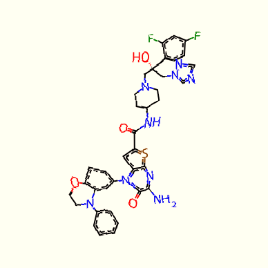 Nc1nc2sc(C(=O)NC3CCN(C[C@](O)(Cn4cncn4)c4ccc(F)cc4F)CC3)cc2n(-c2ccc3c(c2)N(c2ccccc2)CCO3)c1=O